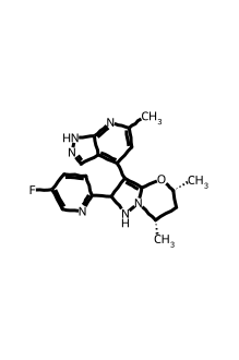 Cc1cc(C2=C3O[C@H](C)C[C@H](C)N3NC2c2ccc(F)cn2)c2cn[nH]c2n1